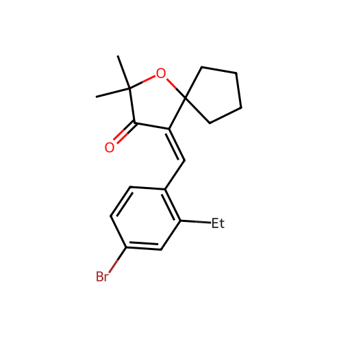 CCc1cc(Br)ccc1C=C1C(=O)C(C)(C)OC12CCCC2